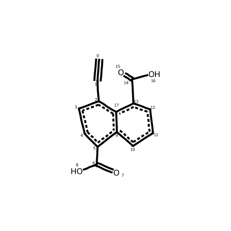 C#Cc1ccc(C(=O)O)c2cccc(C(=O)O)c12